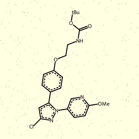 COc1ccc(-n2nc(Cl)cc2-c2ccc(OCCNC(=O)OC(C)(C)C)cc2)cn1